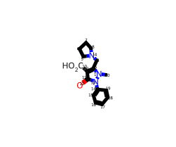 Cn1c(CN2CCCC2)c(C(=O)O)c(=O)n1-c1ccccc1